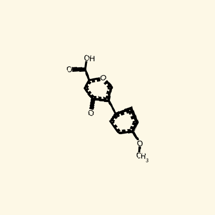 COc1ccc(-c2coc(C(=O)O)cc2=O)cc1